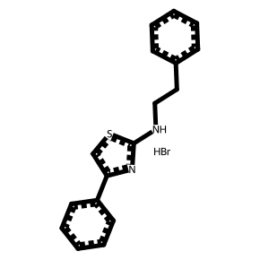 Br.c1ccc(CCNc2nc(-c3ccccc3)cs2)cc1